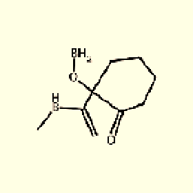 BOC1(C(=C)BC)CCCCC1=O